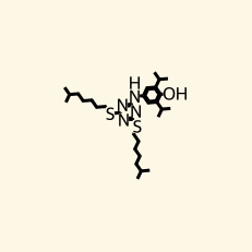 CC(C)CCCCCSc1nc(Nc2cc(C(C)C)c(O)c(C(C)C)c2)nc(SCCCCCC(C)C)n1